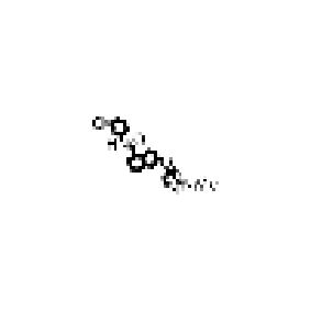 CNc1nccc(Oc2ccc3c(C(=O)Nc4cccc(Cl)c4)cccc3c2)n1